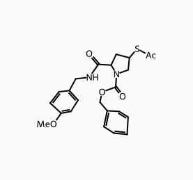 COc1ccc(CNC(=O)C2CC(SC(C)=O)CN2C(=O)OCc2ccccc2)cc1